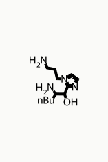 CCCCC(N)C(O)c1nccn1CCCN